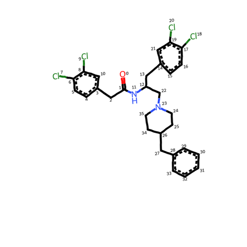 O=C(Cc1ccc(Cl)c(Cl)c1)NC(Cc1ccc(Cl)c(Cl)c1)CN1CCC(Cc2ccccc2)CC1